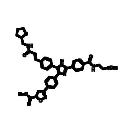 CCCCCCCCCCCCNC(=O)c1ccc(-c2nc(-c3ccc(C4=NOC(C(=O)OC)C4)cc3)c(-c3ccc(C=CC(=O)NCC4CCCO4)cc3)[nH]2)cc1